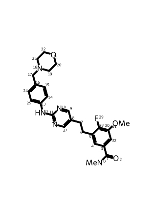 CNC(=O)c1cc(CCc2cnc(Nc3ccc(CN4CCOCC4)cc3)nc2)c(F)c(OC)c1